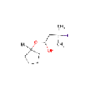 CCC1(OC(O)CC(C)(C)I)CCCC1